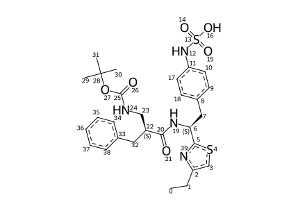 CCc1csc([C@H](Cc2ccc(NS(=O)(=O)O)cc2)NC(=O)[C@H](CNC(=O)OC(C)(C)C)Cc2ccccc2)n1